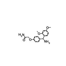 COc1ccc(C(N)c2ccc(OCC(N)=O)cc2)c(OC)c1